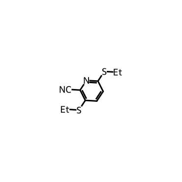 CCSc1ccc(SCC)c(C#N)n1